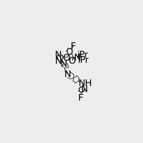 CC(C)N(C(=O)c1cc(F)ccc1Oc1cncnc1N1CCC(CN2CCC3(CCC(Nc4ccc(F)cn4)CC3)CC2)C1)C(C)C